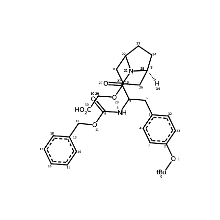 CC(C)(C)Oc1ccc(CC(NC(=O)OCc2ccccc2)C(=O)N2C3CC[C@H]2CC(OCC(=O)O)C3)cc1